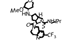 CO[C@@H]1COCC[C@@H]1N[C@@H]1C[C@H]2CN(C(=S)NCC(C)C)C[C@@]2(C(=O)N2CCc3ncc(C(F)(F)F)cc3C2)C1